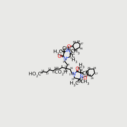 CC1(C)CN(CCC(CCCCCCCC(=O)O)(CCN2CC(C)(C)N(OC3CCCCC3)C(C)(C)C2=O)C(=O)O)C(=O)C(C)(C)N1OC1CCCCC1